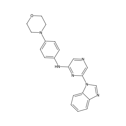 c1ccc2c(c1)ncn2-c1cncc(Nc2ccc(N3CCOCC3)cc2)n1